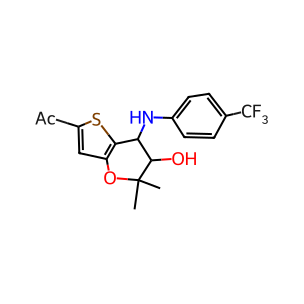 CC(=O)c1cc2c(s1)C(Nc1ccc(C(F)(F)F)cc1)C(O)C(C)(C)O2